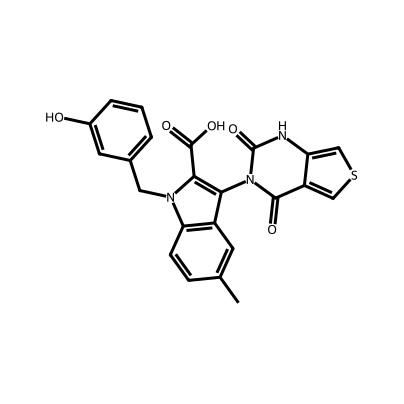 Cc1ccc2c(c1)c(-n1c(=O)[nH]c3cscc3c1=O)c(C(=O)O)n2Cc1cccc(O)c1